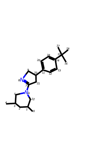 CC1CC(C)CN(C2=NCC(c3ccc(C(C)(C)C)cc3)C2)C1